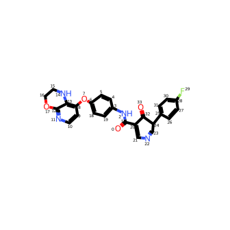 O=C(Nc1ccc(Oc2ccnc3c2NCCO3)cc1)C1=CN=CC(c2ccc(F)cc2)C1=O